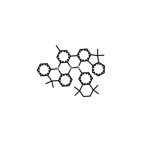 Cc1cc2c3c(c1)N1c4ccccc4C(C)(C)c4cccc(c41)B3N(c1ccc3c(c1)C(C)(C)CCC3(C)C)c1c-2ccc2c1-c1ccccc1C2(C)C